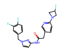 O=C(Cc1ccc(N2CC(F)C2)nc1)Nc1ccn(Cc2ccc(F)c(F)c2)n1